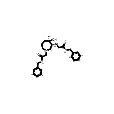 C[C@@]1(O)CCCN(CC(=O)OCc2ccccc2)C[C@H]1NCC(=O)OCc1ccccc1